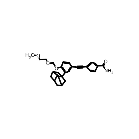 COCCOCOc1ccc(C#Cc2ccc(C(N)=O)cc2)cc1C12CC3CC(CC(C3)C1)C2